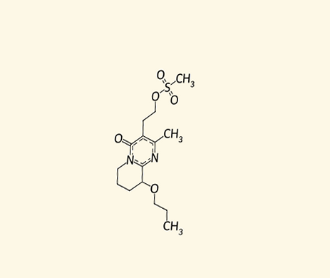 CCCOC1CCCn2c1nc(C)c(CCOS(C)(=O)=O)c2=O